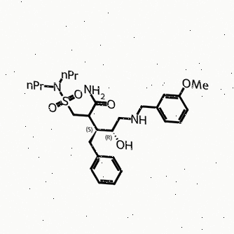 CCCN(CCC)S(=O)(=O)CC(C(N)=O)[C@H](Cc1ccccc1)[C@@H](O)CNCc1cccc(OC)c1